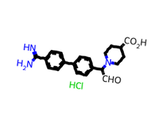 Cl.N=C(N)c1ccc(-c2ccc(C(C=O)N3CCC(C(=O)O)CC3)cc2)cc1